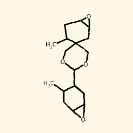 CC1CC2OC2CC1C1OCC2(CO1)CC1OC1CC2C